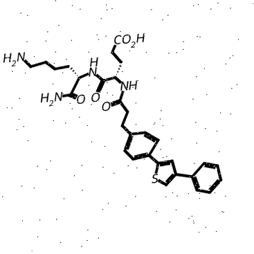 NCCCC[C@H](NC(=O)[C@H](CCC(=O)O)NC(=O)CCc1ccc(-c2cc(-c3ccccc3)cs2)cc1)C(N)=O